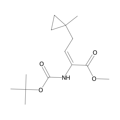 COC(=O)/C(=C\CC1(C)CC1)NC(=O)OC(C)(C)C